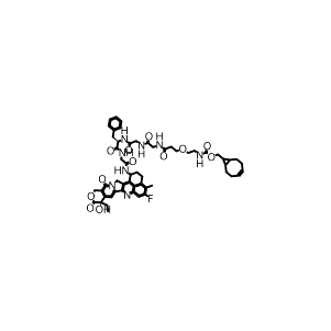 CC[C@@]1(O)C(=O)OCc2c1cc1n(c2=O)Cc2c-1nc1cc(F)c(C)c3c1c2C(NC(=O)CNC(=O)[C@@H](Cc1ccccc1)NC(=O)CNC(=O)CNC(=O)CCOCCNC(=O)OCC1C2CCC#CCCC21)CC3